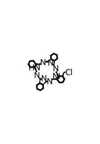 ClCc1cccc2c3nc4nc(nc5[nH]c(nc6nc(nc([nH]3)c12)-c1ccccc1-6)c1ccccc51)-c1ccccc1-4